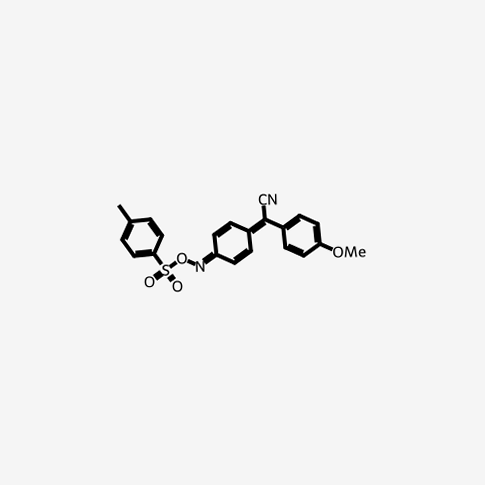 COc1ccc(C(C#N)=C2C=CC(=NOS(=O)(=O)c3ccc(C)cc3)C=C2)cc1